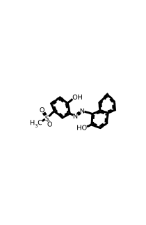 CS(=O)(=O)c1ccc(O)c(N=Nc2c(O)ccc3ccccc23)c1